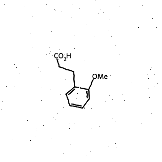 COc1c[c]ccc1CCC(=O)O